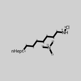 CCCCCCCCCCCCCCNCl.CN(C)C